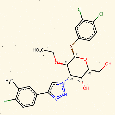 Cc1cc(-c2cn([C@H]3[C@@H](O)[C@@H](CO)O[C@H](Sc4ccc(Cl)c(Cl)c4)[C@@H]3OCC(=O)O)nn2)ccc1F